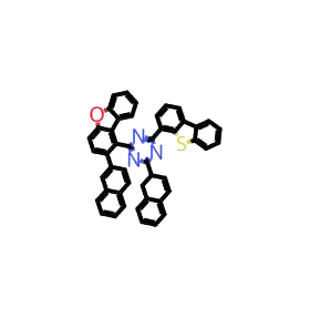 C1=CC(c2nc(-c3cccc4c3sc3ccccc34)nc(-c3c(-c4ccc5ccccc5c4)ccc4oc5ccccc5c34)n2)Cc2ccccc21